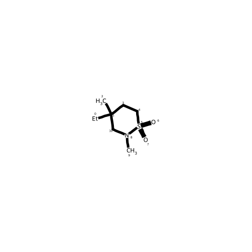 CCC1(C)CCS(=O)(=O)N(C)C1